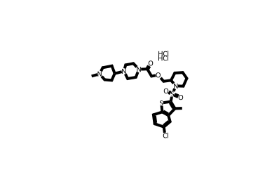 Cc1c(S(=O)(=O)N2CCCCC2COCC(=O)N2CCN(C3CCN(C)CC3)CC2)sc2ccc(Cl)cc12.Cl.Cl